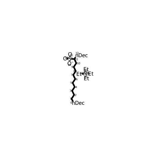 CCCCCCCCCCCCCCCCCCCCC(CCCCCCCCCC)S(=O)(=O)[O-].CC[N+](CC)(CC)CC